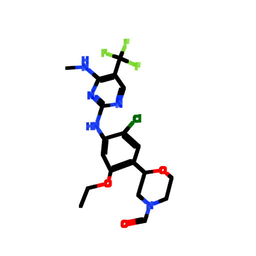 CCOc1cc(Nc2ncc(C(F)(F)F)c(NC)n2)c(Cl)cc1C1CN(C=O)CCO1